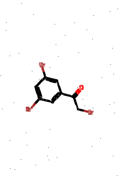 O=C(CBr)c1cc(Br)cc(Br)c1